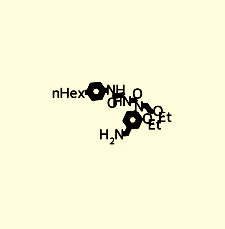 CCCCCCc1ccc(NC(=O)CNC(=O)N(CC(OCC)OCC)c2ccc(CN)cc2)cc1